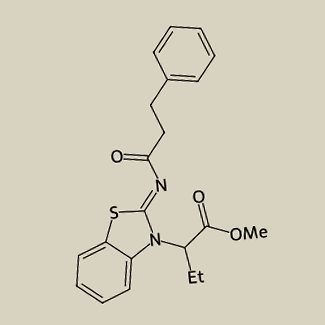 CCC(C(=O)OC)n1/c(=N/C(=O)CCc2ccccc2)sc2ccccc21